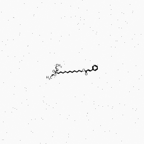 CCOP(=O)(CCCCCCCCCCCOC(=O)C=Cc1ccccc1)OCC